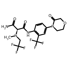 CN(CC(F)(F)F)[C@@H](C(N)=O)C(=O)Nc1ccc(N2CCOCC2=O)cc1C(F)(F)F